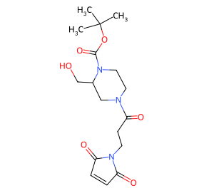 CC(C)(C)OC(=O)N1CCN(C(=O)CCN2C(=O)C=CC2=O)CC1CO